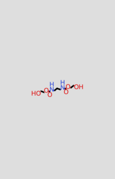 O=C(NCCCNC(=O)OCCO)OCCO